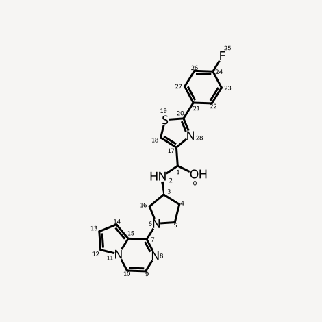 OC(N[C@H]1CCN(c2nccn3cccc23)C1)c1csc(-c2ccc(F)cc2)n1